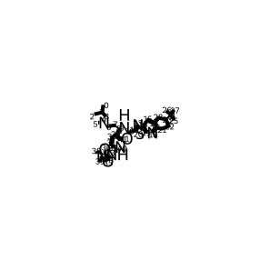 CC(C)CN(C)CC[C@@H](NC(=O)c1nc2cc3c(nc2s1)CC[C@H](C(C)(C)C)C3)c1ccc(NS(=O)(=O)N(C)C)nc1